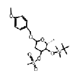 COc1ccc(COC2CC(OS(C)(=O)=O)C(O[Si](C)(C)C(C)(C)C)[C@@H](C)O2)cc1